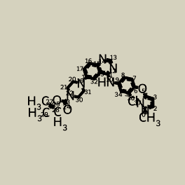 Cn1ccc(Oc2ccc(Nc3ncnc4ccc(N5CCN(C(=O)OC(C)(C)C)CC5)cc34)cc2Cl)n1